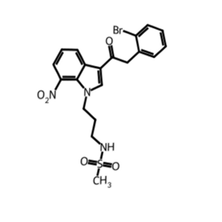 CS(=O)(=O)NCCCn1cc(C(=O)Cc2ccccc2Br)c2cccc([N+](=O)[O-])c21